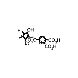 CCc1c(O)c(CC)n(C)c1CC.O=C(O)c1ccc(C(=O)O)c(C(=O)O)n1